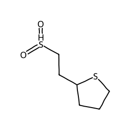 O=[SH](=O)CCC1CCCS1